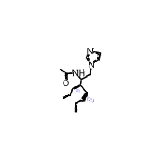 C=C/C=C\C(=C/C=C)C(Cn1ccnc1)NC(C)=O